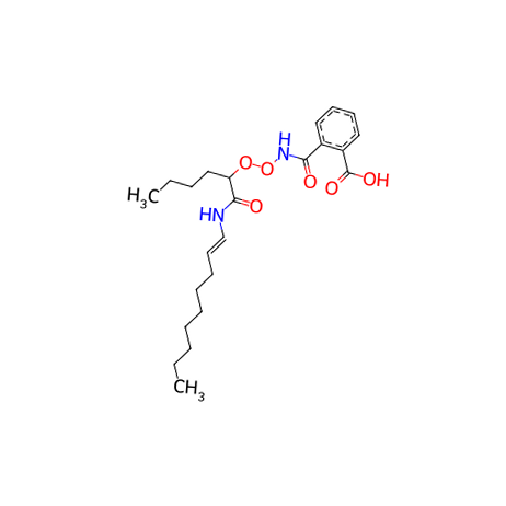 CCCCCCCC=CNC(=O)C(CCCC)OONC(=O)c1ccccc1C(=O)O